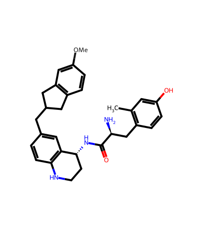 COc1ccc2c(c1)CC(Cc1ccc3c(c1)[C@H](NC(=O)[C@@H](N)Cc1ccc(O)cc1C)CCN3)C2